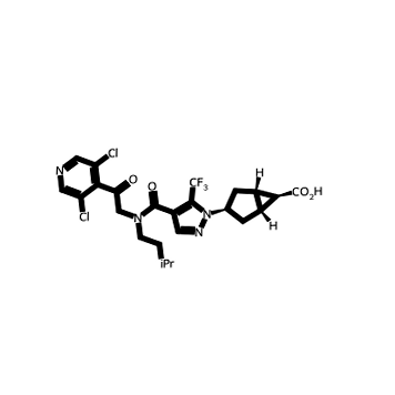 CC(C)CCN(CC(=O)c1c(Cl)cncc1Cl)C(=O)c1cnn([C@@H]2C[C@@H]3[C@H](C2)[C@H]3C(=O)O)c1C(F)(F)F